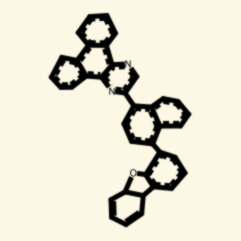 C1=CC2Oc3c(-c4ccc(-c5cnc6c7ccccc7c7ccccc7c6n5)c5ccccc45)cccc3C2C=C1